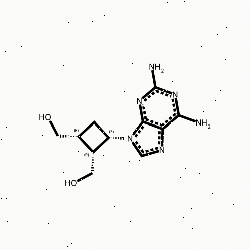 Nc1nc(N)c2ncn([C@H]3C[C@@H](CO)[C@H]3CO)c2n1